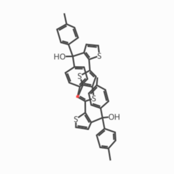 Cc1ccc(C(O)(c2ccc(C)cc2)c2ccsc2-c2cc3sc(-c4sccc4C(O)(c4ccc(C)cc4)c4ccc(C)cc4)cc3s2)cc1